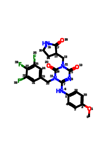 COc1ccc(Nc2nc(=O)n(CC3CCNC3=O)c(=O)n2Cc2cc(F)c(F)c(F)c2)cc1